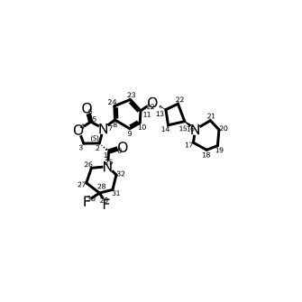 O=C([C@@H]1COC(=O)N1c1ccc(O[C@H]2C[C@H](N3CCCCC3)C2)cc1)N1CCC(F)(F)CC1